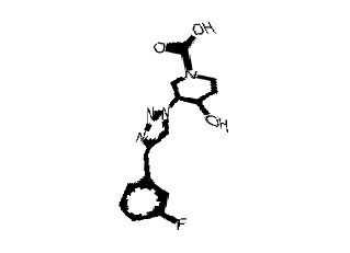 O=C(O)N1CCC(O)C(n2cc(-c3cccc(F)c3)nn2)C1